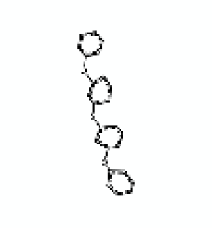 c1ccc(Oc2cccc(Sc3cccc(Oc4ccccc4)c3)c2)cc1